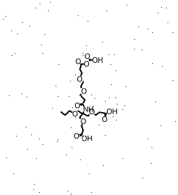 CCCOCC(COCCC(=O)O)(COCCC(=O)O)NC(=O)CCOCCOCCC(=O)OC(=O)O